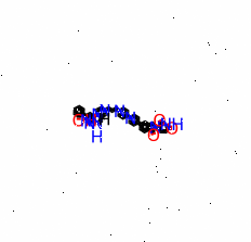 O=C1CCC(N2Cc3cc(C4CCN(C5CCN(CCCN6CCN7c8cc(-c9ccccc9O)nnc8NC[C@H]7C6)CC5)CC4)ccc3C2=O)C(=O)N1